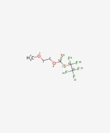 COCCOC(=S)SC(F)(F)C(F)(F)F